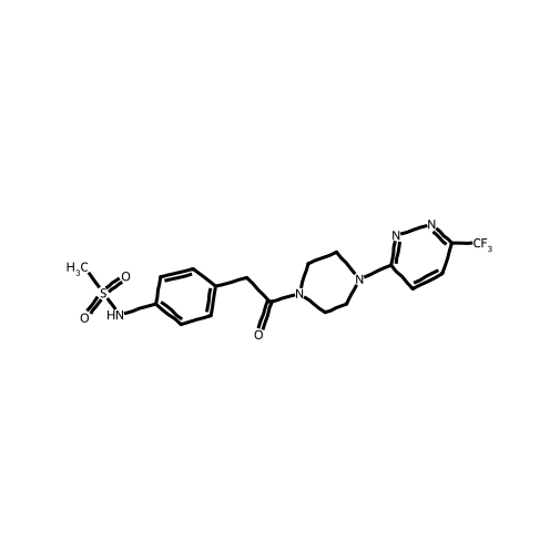 CS(=O)(=O)Nc1ccc(CC(=O)N2CCN(c3ccc(C(F)(F)F)nn3)CC2)cc1